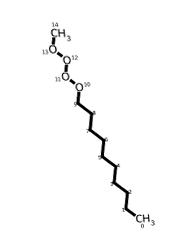 CCCCCCCCCCOOOOC